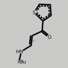 CCCCN/C=C/C(=O)c1cccs1